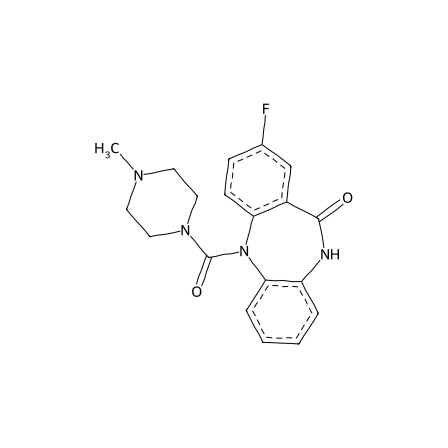 CN1CCN(C(=O)N2c3ccccc3NC(=O)c3cc(F)ccc32)CC1